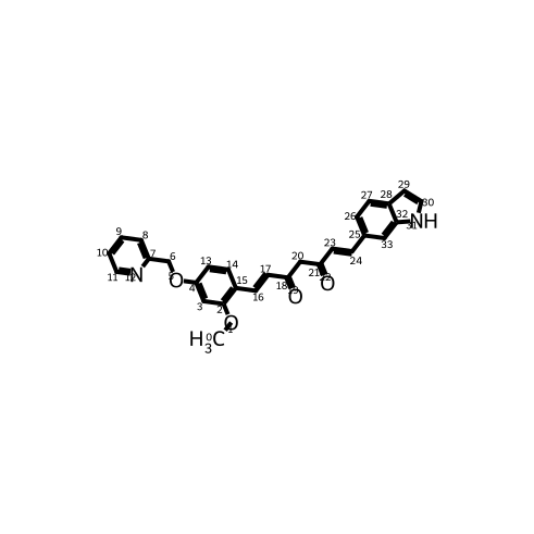 COc1cc(OCc2ccccn2)ccc1/C=C/C(=O)CC(=O)/C=C/c1ccc2cc[nH]c2c1